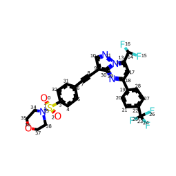 O=S(=O)(c1ccc(C#Cc2cnn3c(C(F)F)cc(-c4ccc(C(F)(F)F)cc4)nc23)cc1)N1CCOCC1